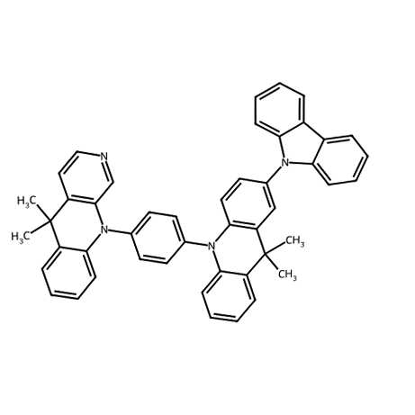 CC1(C)c2ccccc2N(c2ccc(N3c4ccccc4C(C)(C)c4cc(-n5c6ccccc6c6ccccc65)ccc43)cc2)c2cnccc21